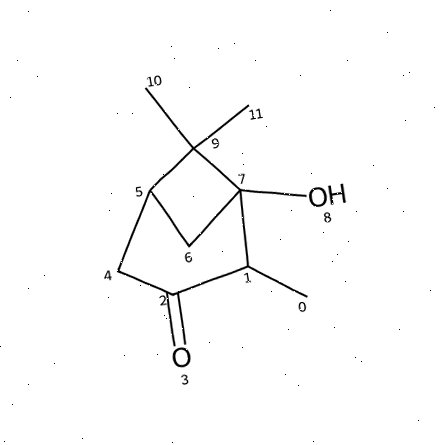 CC1C(=O)CC2CC1(O)C2(C)C